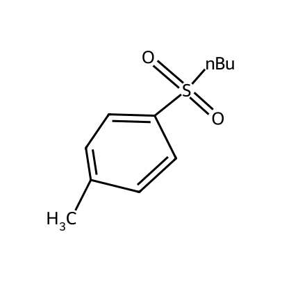 [CH2]CCCS(=O)(=O)c1ccc(C)cc1